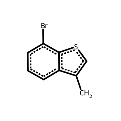 [CH2]c1csc2c(Br)cccc12